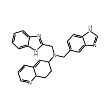 C1=CC2=CC(N(Cc3ccc4[nH]cnc4c3)Cc3nc4ccccc4[nH]3)CCC2N=C1